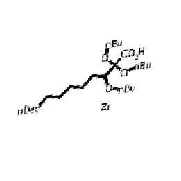 CCCCCCCCCCCCCCCC(OCCCC)C(OCCCC)(OCCCC)C(=O)O.[Zr]